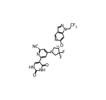 N#Cc1cc(N2C[C@H](Oc3cc4c(cn3)cnn4CC(F)(F)F)C(F)(F)C2)cc(-c2c[nH]c(=O)[nH]c2=O)n1